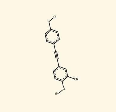 CC(C)Oc1ccc(C#Cc2ccc(CCl)cc2)cc1C#N